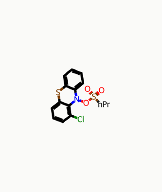 CCCS(=O)(=O)ON1c2ccccc2Sc2cccc(Cl)c21